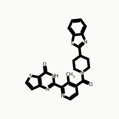 Cc1c(C(=O)N2CCC(c3nc4ccccc4s3)CC2)ccnc1-c1nc2ccsc2c(=O)[nH]1